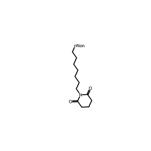 CCCCCCCCCCCCCCCCN1C(=O)CCCC1=O